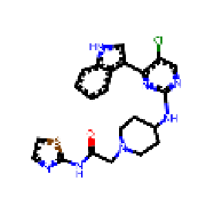 O=C(CN1CCC(Nc2ncc(Cl)c(-c3c[nH]c4ccccc34)n2)CC1)Nc1nccs1